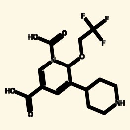 O=C(O)C1=CN(C(=O)O)C(OCC(F)(F)F)C(C2CCNCC2)=C1